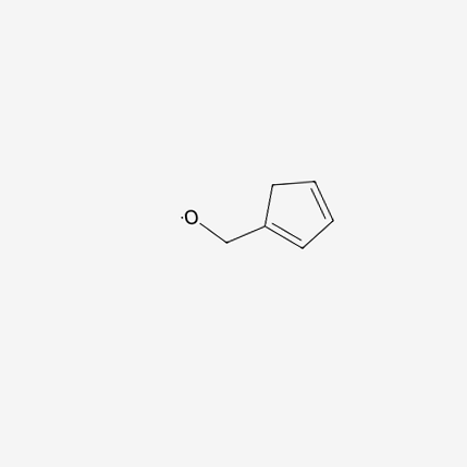 [O]CC1=CC=CC1